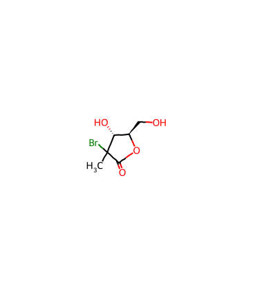 CC1(Br)C(=O)O[C@H](CO)[C@H]1O